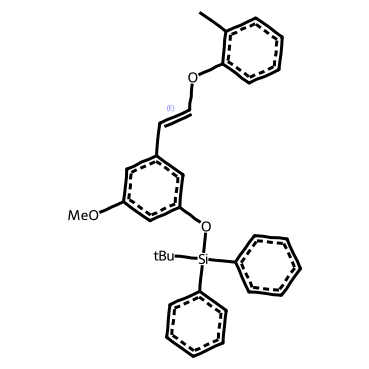 COc1cc(/C=C/Oc2ccccc2C)cc(O[Si](c2ccccc2)(c2ccccc2)C(C)(C)C)c1